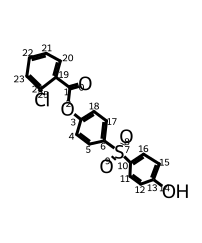 O=C(Oc1ccc(S(=O)(=O)c2ccc(O)cc2)cc1)c1ccccc1Cl